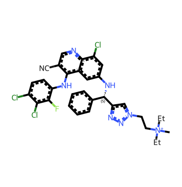 CC[N+](C)(CC)CCn1cc([C@@H](Nc2cc(Cl)c3ncc(C#N)c(Nc4ccc(Cl)c(Cl)c4F)c3c2)c2ccccc2)nn1